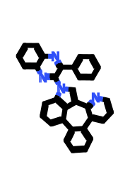 c1ccc(-c2nc3ccccc3nc2-n2cc3c4c(cccc42)-c2ccccc2-c2cccnc2-3)cc1